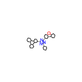 c1ccc(-c2nc(-c3ccc4oc5ccccc5c4c3)nc(-c3ccc4c5ccccc5c5ccccc5c4c3)n2)cc1